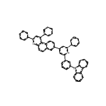 c1ccc(-c2cc(-c3ccc4c(ccc5nc(-c6ccccc6)cc(-c6ccccc6)c54)c3)cc(-c3cccc(-n4c5ccccc5c5ccccc54)c3)n2)cc1